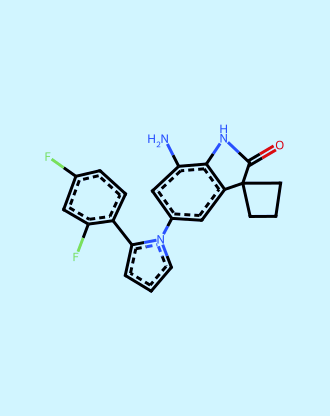 Nc1cc(-n2cccc2-c2ccc(F)cc2F)cc2c1NC(=O)C21CCC1